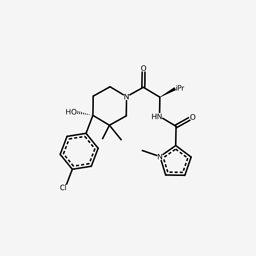 CC(C)[C@@H](NC(=O)c1cccn1C)C(=O)N1CC[C@](O)(c2ccc(Cl)cc2)C(C)(C)C1